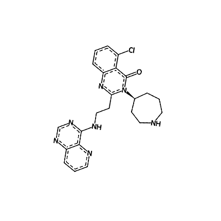 O=c1c2c(Cl)cccc2nc(CCNc2ncnc3cccnc23)n1[C@H]1CCCNCC1